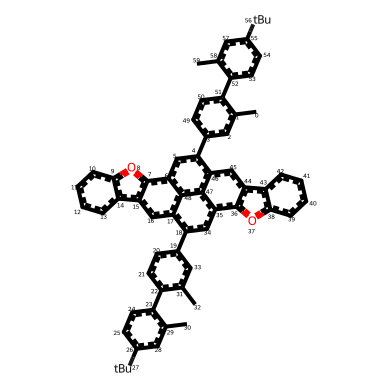 Cc1cc(-c2cc3c4oc5ccccc5c4cc4c(-c5ccc(-c6ccc(C(C)(C)C)cc6C)c(C)c5)cc5c6oc7ccccc7c6cc2c5c43)ccc1-c1ccc(C(C)(C)C)cc1C